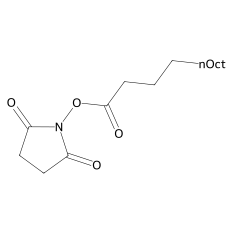 CCCCCCCCCCCC(=O)ON1C(=O)CCC1=O